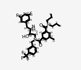 CCCN(CCC)C(=O)c1cc(C)cc(C(=O)N(Cc2cccc(C(F)(F)F)c2)C[C@@H](O)[C@@H](N)Cc2cc(F)cc(F)c2)c1